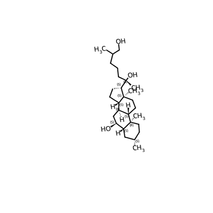 CC(CO)CCC[C@](C)(O)[C@H]1CC[C@H]2[C@@H]3C[C@H](O)[C@H]4C[C@@H](C)CC[C@]4(C)[C@H]3CC[C@@]21C